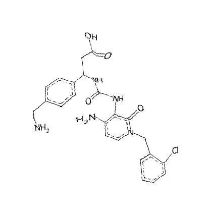 NCc1ccc(C(CC(=O)O)NC(=O)Nc2c(N)ccn(Cc3ccccc3Cl)c2=O)cc1